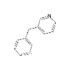 [c]1cccc(Cc2cccnc2)c1